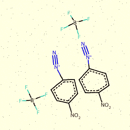 F[B-](F)(F)F.F[B-](F)(F)F.N#[N+]c1ccc([N+](=O)[O-])cc1.N#[N+]c1ccc([N+](=O)[O-])cc1